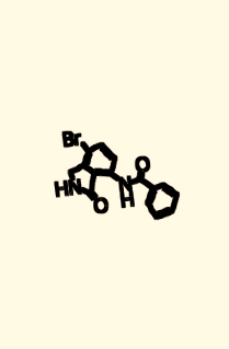 O=C(Nc1ccc(Br)c2c1C(=O)NC2)c1ccccc1